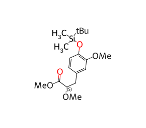 COC(=O)[C@H](Cc1ccc(O[Si](C)(C)C(C)(C)C)c(OC)c1)OC